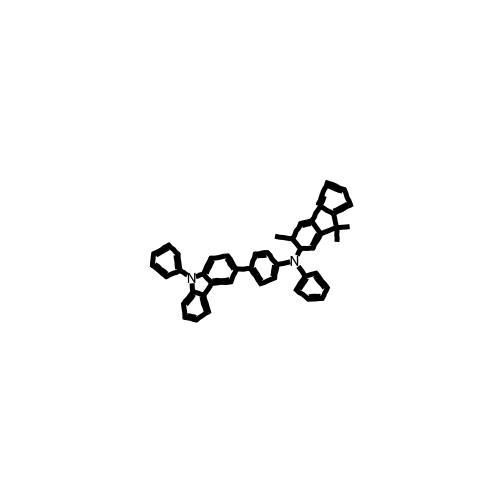 CC1C=C2C(=CC1N(c1ccccc1)c1ccc(-c3ccc4c(c3)c3ccccc3n4-c3ccccc3)cc1)C(C)(C)c1ccccc12